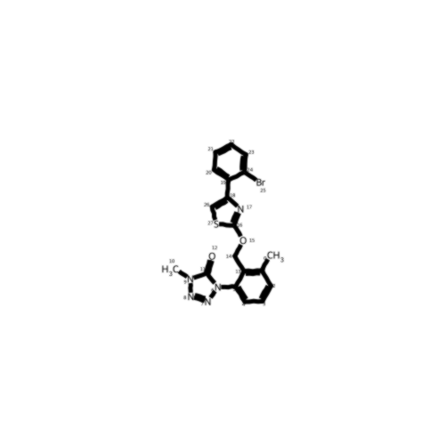 Cc1cccc(-n2nnn(C)c2=O)c1COc1nc(-c2ccccc2Br)cs1